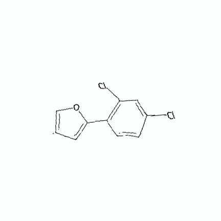 Clc1ccc(-c2c[c]co2)c(Cl)c1